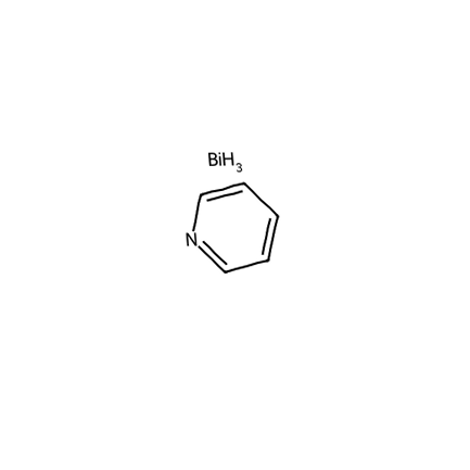 [BiH3].c1ccncc1